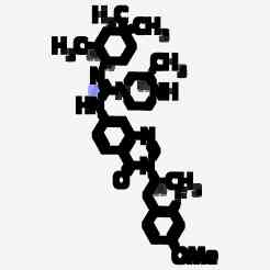 COc1ccc(C[C@@H](C)n2cnc3cc(N/C(=N/[C@H]4CCC(C)(C)C[C@@H]4C)N4CCN[C@@H](C)C4)ccc3c2=O)c(F)c1